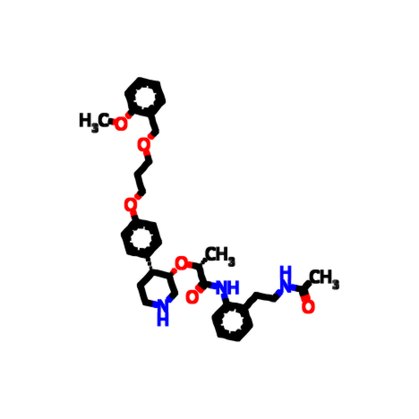 COc1ccccc1COCCCOc1ccc([C@H]2CCNC[C@@H]2O[C@H](C)C(=O)Nc2ccccc2CCNC(C)=O)cc1